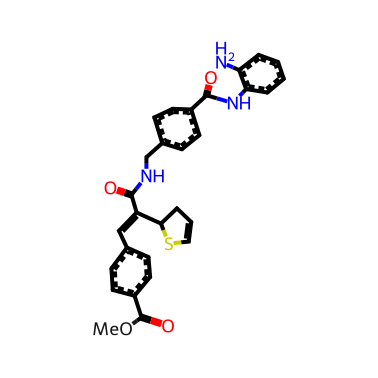 COC(=O)c1ccc(/C=C(/C(=O)NCc2ccc(C(=O)Nc3ccccc3N)cc2)C2CC=CS2)cc1